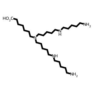 NCCCCCNCCCCCN(CCCCCCC(=O)O)CCCCCNCCCCCN